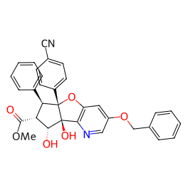 COC(=O)[C@H]1[C@@H](O)[C@@]2(O)c3ncc(OCc4ccccc4)cc3O[C@@]2(c2ccc(C#N)cc2)[C@@H]1c1ccccc1